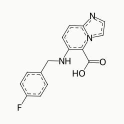 O=C(O)c1c(NCc2ccc(F)cc2)ccc2nccn12